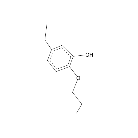 CCCOc1ccc(CC)cc1O